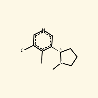 CN1CCC[C@H]1c1cncc(Cl)c1I